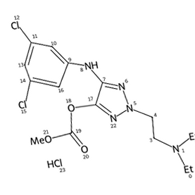 CCN(CC)CCn1nc(Nc2cc(Cl)cc(Cl)c2)c(OC(=O)OC)n1.Cl